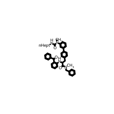 CCCCCCCNC(=O)N(C)c1cccc(-c2ccc(CC(Nc3ccccc3C(=O)c3ccccc3)C(=O)N(C)Cc3ccccc3)cc2)c1